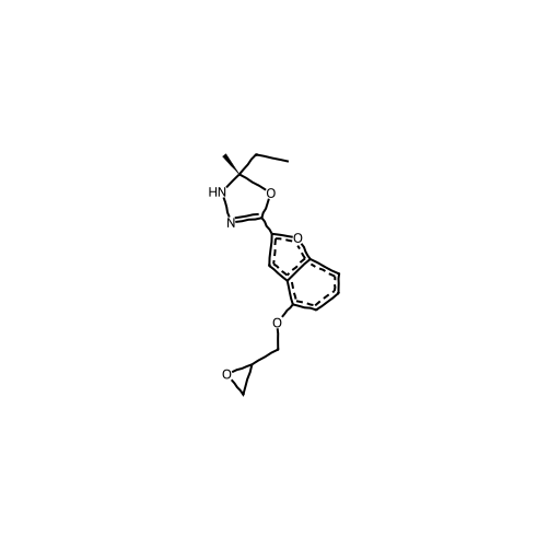 CC[C@@]1(C)NN=C(c2cc3c(OCC4CO4)cccc3o2)O1